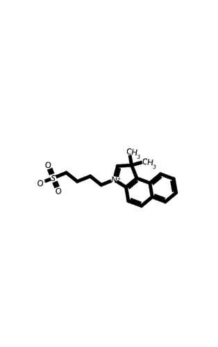 CC1(C)C=[N+](CCCCS(=O)(=O)[O-])c2ccc3ccccc3c21